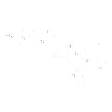 CCc1cc(Nc2ncc(-n3cccn3)c(Nc3ccccc3P(C)(C)=O)n2)c(OC)cc1N1CCC(N2CCNCC2)CC1